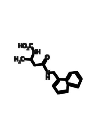 CC(CC(=O)NCc1cccc2ccccc12)NC(=O)O